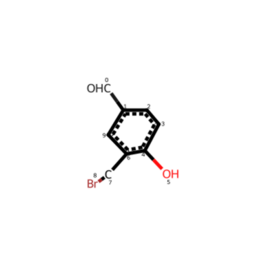 O=Cc1ccc(O)c(CBr)c1